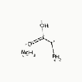 O=C(O)CP.[MgH2]